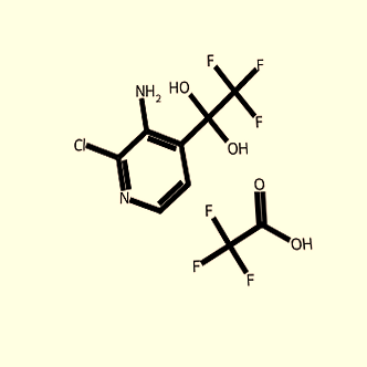 Nc1c(C(O)(O)C(F)(F)F)ccnc1Cl.O=C(O)C(F)(F)F